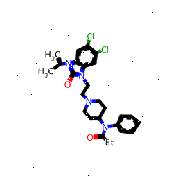 C=C(C)n1c(=O)n(CCN2CCC(N(C(=O)CC)c3ccccc3)CC2)c2cc(Cl)c(Cl)cc21